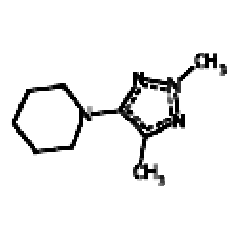 Cc1nn(C)nc1N1CCCCC1